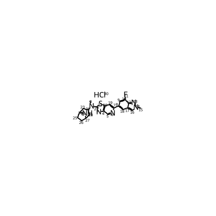 CN(c1nc2cnc(-c3cc(F)c4nn(C)cc4c3)cc2s1)C1CC2CCC(C1)N2.Cl